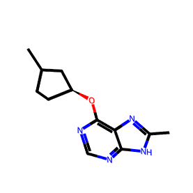 Cc1nc2c(O[C@H]3CCC(C)C3)ncnc2[nH]1